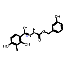 CC/C(=N\NC(=O)OCc1cccc(O)c1)c1ccc(O)c(C)c1O